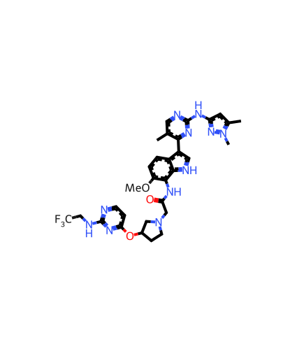 COc1ccc2c(-c3nc(Nc4cc(C)n(C)n4)ncc3C)c[nH]c2c1NC(=O)CN1CCC(Oc2ccnc(NCC(F)(F)F)n2)C1